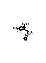 CC(C)c1ccc2c(CC[C@@H](C)CNS(=O)(=O)c3ccccc3)cc(C(=O)O)c-2cc1